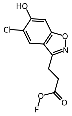 O=C(CCc1noc2cc(O)c(Cl)cc12)OF